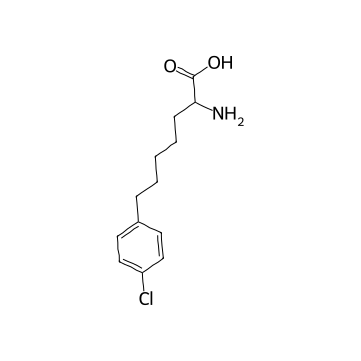 NC(CCCCCc1ccc(Cl)cc1)C(=O)O